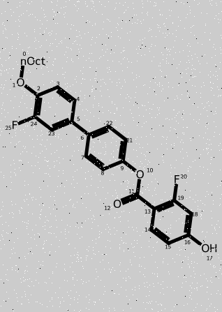 CCCCCCCCOc1ccc(-c2ccc(OC(=O)c3ccc(O)cc3F)cc2)cc1F